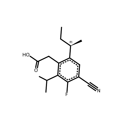 CC[C@@H](C)c1cc(C#N)c(F)c(C(C)C)c1CC(=O)O